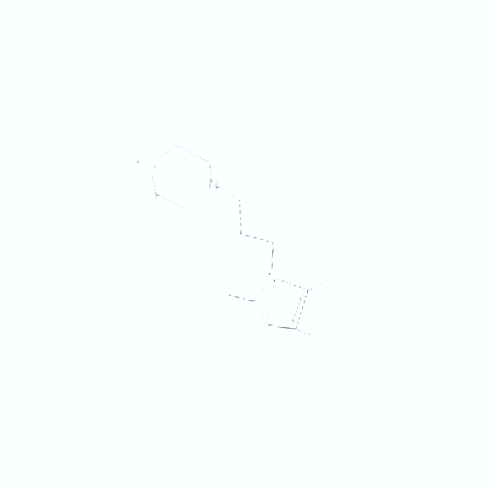 Cc1cc(C(=O)O)c(C)n1CCCN1CCOCC1